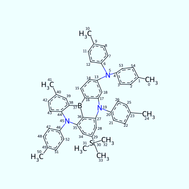 Cc1ccc(N(c2ccc(C)cc2)c2ccc3c(c2)N(c2ccc(C)cc2)c2cc([Si](C)(C)C)cc4c2B3c2cc(C)ccc2N4c2ccc(C)cc2)cc1